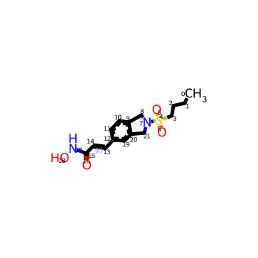 CCCCS(=O)(=O)N1Cc2ccc(/C=C/C(=O)NO)cc2C1